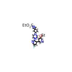 CCOC(=O)N1CC2(CC[C@@H](N3CCN(c4ncc(F)cc4-c4cncc(OCC)c4)CC3)C2)C1